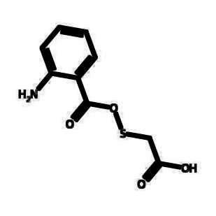 Nc1ccccc1C(=O)OSCC(=O)O